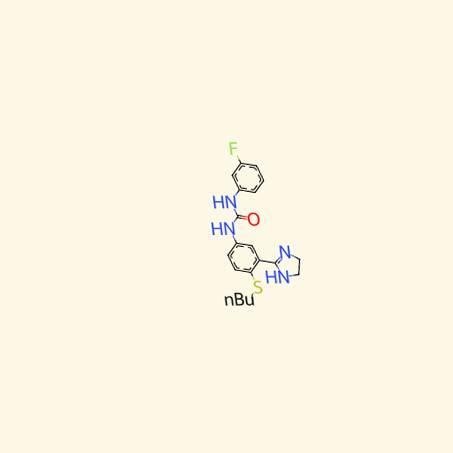 CCCCSc1ccc(NC(=O)Nc2cccc(F)c2)cc1C1=NCCN1